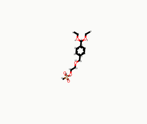 CCOC(OCC)c1ccc(COCCOS(C)(=O)=O)cc1